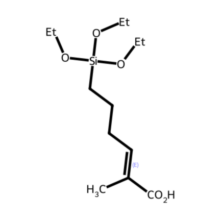 CCO[Si](CCC/C=C(\C)C(=O)O)(OCC)OCC